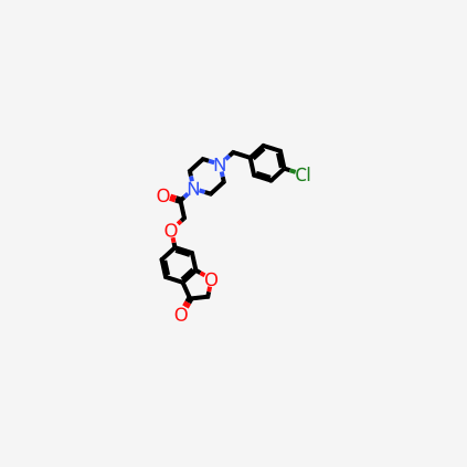 O=C1COc2cc(OCC(=O)N3CCN(Cc4ccc(Cl)cc4)CC3)ccc21